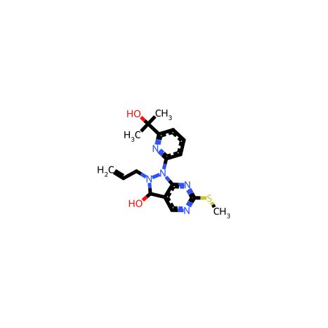 C=CCN1C(O)c2cnc(SC)nc2N1c1cccc(C(C)(C)O)n1